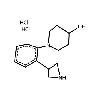 Cl.Cl.OC1CCN(c2ccccc2C2CNC2)CC1